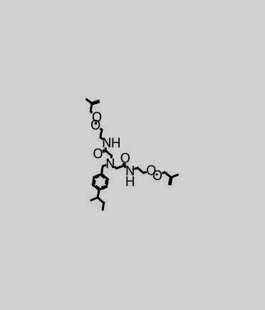 C=C(C)COOCCNC(=O)CN(CC(=O)NCCOOCC(=C)C)Cc1ccc(C(C)CC)cc1